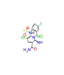 CS(=O)(=O)Nc1ccc(F)cc1Cn1cc(Cl)cc(C(N)=O)c1=N.Cl